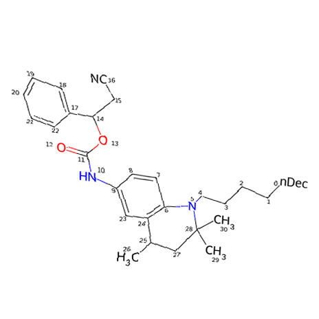 CCCCCCCCCCCCCCN1c2ccc(NC(=O)OC(CC#N)c3ccccc3)cc2C(C)CC1(C)C